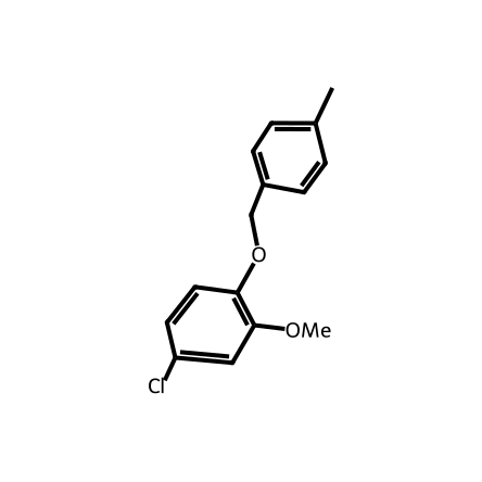 COc1cc(Cl)ccc1OCc1ccc(C)cc1